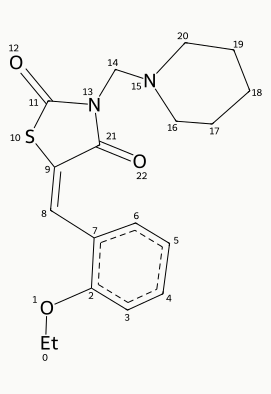 CCOc1ccccc1/C=C1/SC(=O)N(CN2CCCCC2)C1=O